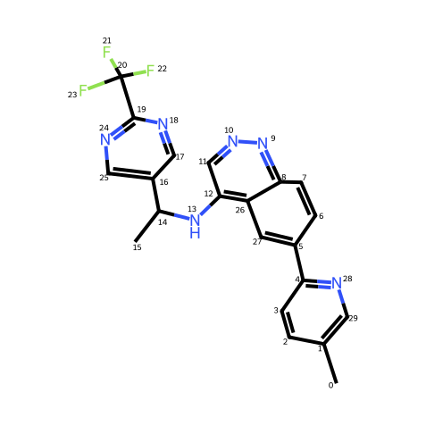 Cc1ccc(-c2ccc3nncc(NC(C)c4cnc(C(F)(F)F)nc4)c3c2)nc1